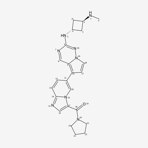 CN[C@H]1C[C@H](Nc2ncc3c(-c4ccc5ncc(C(=O)N6CCCC6)n5c4)ccn3n2)C1